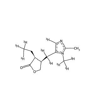 [2H]c1nc(C)n(C([2H])([2H])[2H])c1C([2H])([2H])[C@H]1COC(=O)[C@H]1CC([2H])([2H])[2H]